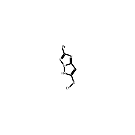 CCSc1cc2nc(C(C)C)nn2[nH]1